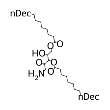 CCCCCCCCCCCCCCCCCC(=O)OCC(O)C(OC(=O)CCCCCCCCCCCCCCCCC)C(=O)CN